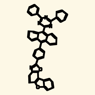 c1ccc(-c2nc(-c3ccccc3)nc(-c3c4ccccc4c(-c4ccc(-c5nc6ccc7oc8ccccc8c7c6o5)cc4)c4ccccc34)n2)cc1